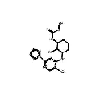 CC(C)(C)OC(=O)NC1CCCC(Nc2cc(-n3nccn3)ncc2[N+](=O)[O-])C1O